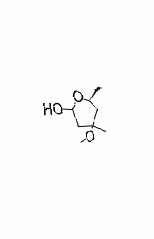 COC1(C)CC(O)O[C@@H](C)C1